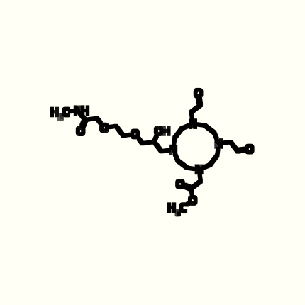 CNC(=O)COCCOCC(O)CN1CCN(CC=O)CCN(CC=O)CCN(CC(=O)OC)CC1